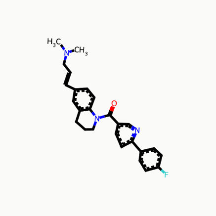 CN(C)C/C=C/c1ccc2c(c1)CCCN2C(=O)c1ccc(-c2ccc(F)cc2)nc1